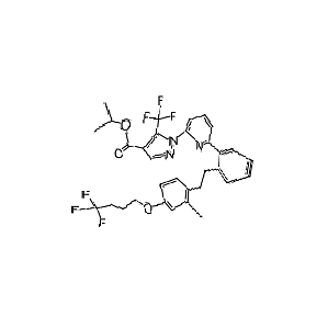 Cc1cc(OCCCC(F)(F)F)ccc1CCc1ccccc1-c1cccc(-n2ncc(C(=O)OC(C)C)c2C(F)(F)F)n1